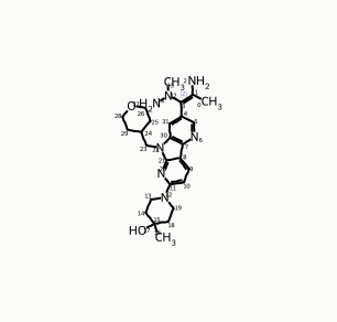 C/C(N)=C(\c1cnc2c3ccc(N4CCC(C)(O)CC4)nc3n(CC3CCOCC3)c2c1)N(C)N